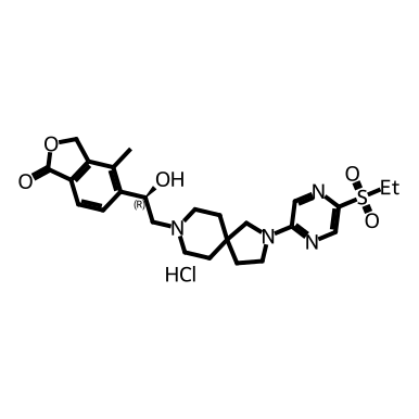 CCS(=O)(=O)c1cnc(N2CCC3(CCN(C[C@H](O)c4ccc5c(c4C)COC5=O)CC3)C2)cn1.Cl